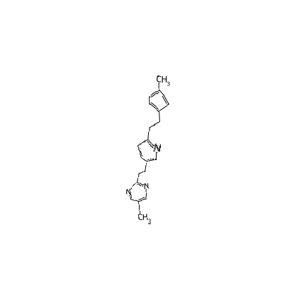 Cc1ccc(CCc2ccc(CCc3ncc(C)cn3)cn2)cc1